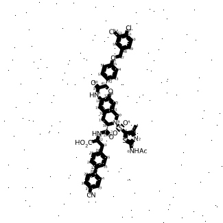 CC(=O)Nc1nc(C)c(S(=O)(=O)N2Cc3cc4c(cc3C[C@H]2C(=O)NC(Cc2ccc(-c3ccc(C#N)cc3)cc2)C(=O)O)NC(=O)[C@H](c2ccc(OCc3ccc(Cl)c(Cl)c3)cc2)O4)s1